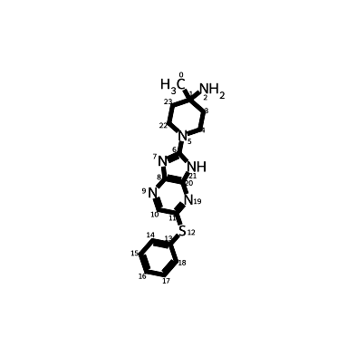 CC1(N)CCN(c2nc3ncc(Sc4ccccc4)nc3[nH]2)CC1